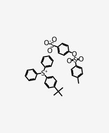 CC(C)(C)c1ccc([S+](c2ccccc2)c2ccccc2)cc1.Cc1ccc(S(=O)(=O)Oc2ccc(S(=O)(=O)[O-])cc2)cc1